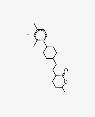 Cc1ccc(C2CCC(CCC3CCC(C)OC3=O)CC2)c(C)c1C